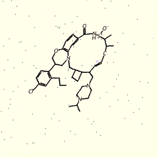 CCCc1cc(Cl)ccc1C1COc2ccc3cc2N(C1)CC1CCC1C(CN1CCN(C(C)C)CC1)/C=C/CC(C)C(C)[S+]([O-])NC3=O